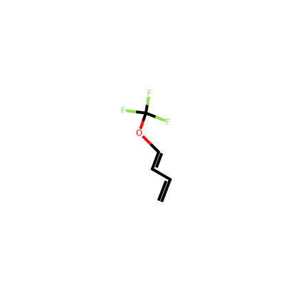 C=C/C=C/OC(F)(F)F